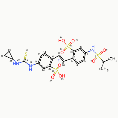 CC(C)S(=O)(=O)Nc1ccc(/C=C/c2ccc(NC(=S)NC3CC3)cc2S(=O)(=O)O)c(S(=O)(=O)O)c1